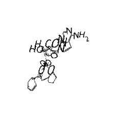 C[C@@]1(O)[C@H](O)[C@@H](CO[P@]2(=O)O[C@H](c3ccccc3)CC3(CCCC3)O2)O[C@H]1n1ccc2c(N)ncnc21